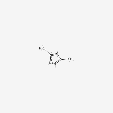 Cc1[c]n(C)nn1